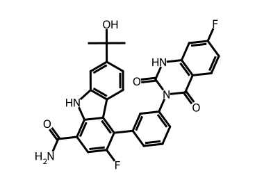 CC(C)(O)c1ccc2c(c1)[nH]c1c(C(N)=O)cc(F)c(-c3cccc(-n4c(=O)[nH]c5cc(F)ccc5c4=O)c3)c12